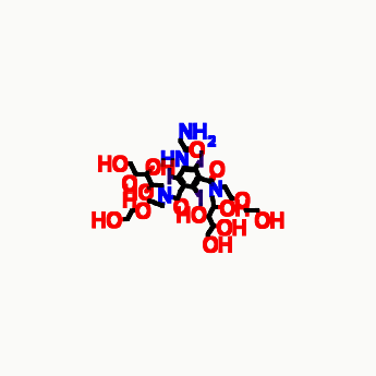 NCC(=O)Nc1c(I)c(C(=O)N(CCOCCO)CC(O)C(O)C(O)CO)c(I)c(C(=O)N(CCOCCO)CC(O)C(O)C(O)CO)c1I